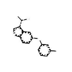 CC(N)c1c[nH]c2ccc(Oc3cccc(C(F)(F)F)c3)cc12